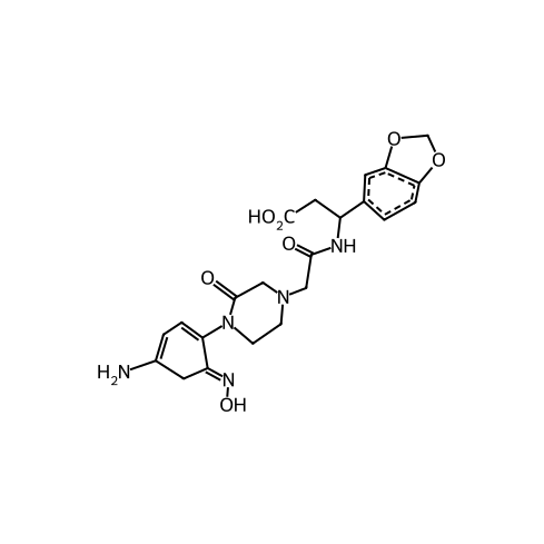 NC1=CC=C(N2CCN(CC(=O)NC(CC(=O)O)c3ccc4c(c3)OCO4)CC2=O)C(=NO)C1